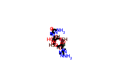 NC1=Nc2c(ncn2[C@@H]2O[C@@H]3CO[P@](=O)(S)O[C@H]4[C@@H](F)[C@H](n5cnc6c(N)ncnc65)O[C@@H]4CO[P@@](=O)(S)O[C@H]3[C@H]2O)C(=O)C1